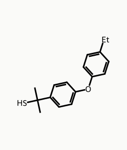 CCc1ccc(Oc2ccc(C(C)(C)S)cc2)cc1